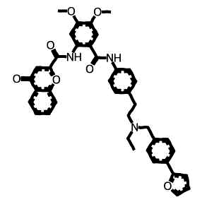 CCN(CCc1ccc(NC(=O)c2cc(OC)c(OC)cc2NC(=O)c2cc(=O)c3ccccc3o2)cc1)Cc1ccc(-c2ccco2)cc1